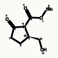 CC(C)(C)OC(=O)N1C(=O)CC[C@H]1CO